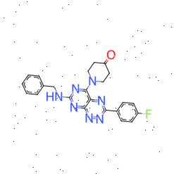 O=C1CCN(c2nc(NCc3ccccc3)nc3nnc(-c4ccc(F)cc4)nc23)CC1